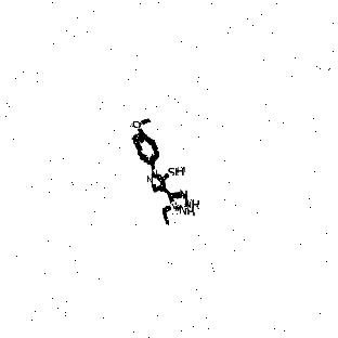 CCN1NNN=C1c1cnn(-c2ccc(OC)cc2)c1S